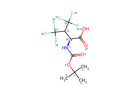 CC(C)(C)OC(=O)N[C@H](C(=O)O)C(C(F)(F)F)C(F)(F)F